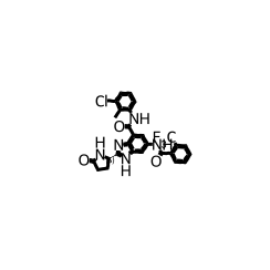 Cc1c(Cl)cccc1NC(=O)c1cc(NC(=O)c2ccccc2C(F)(F)F)cc2[nH]c([C@@H]3CCC(=O)N3)nc12